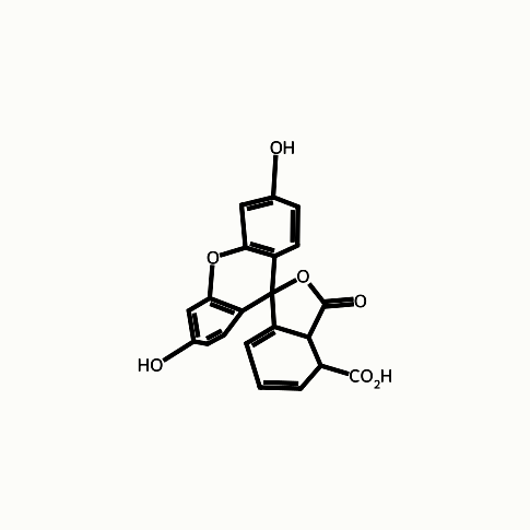 O=C(O)C1C=CC=C2C1C(=O)OC21c2ccc(O)cc2Oc2cc(O)ccc21